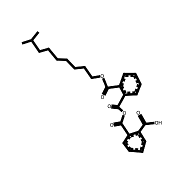 CC(C)CCCCCCCOC(=O)c1ccccc1C(=O)OC(=O)c1ccccc1C(=O)O